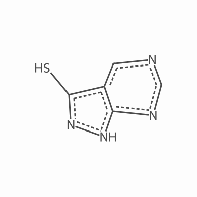 Sc1n[nH]c2ncncc12